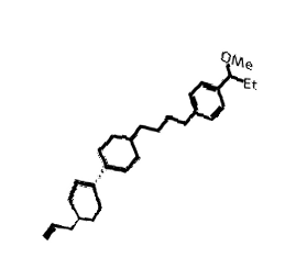 C=CC[C@H]1CC[C@H](C2CCC(CCCCc3ccc(C(CC)OC)cc3)CC2)CC1